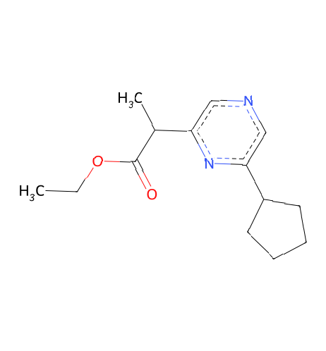 CCOC(=O)C(C)c1cncc(C2CCCC2)n1